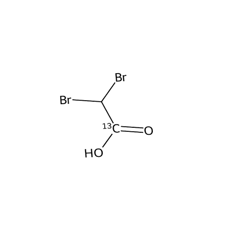 O=[13C](O)C(Br)Br